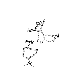 CN(C)c1ccc(Nc2nc3ccncc3c3cc(C(=O)O)[nH]c23)cc1